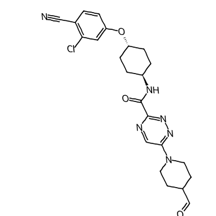 N#Cc1ccc(O[C@H]2CC[C@H](NC(=O)c3ncc(N4CCC(C=O)CC4)nn3)CC2)cc1Cl